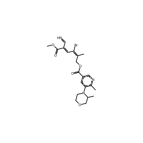 COC(=O)/C(C=N)=C/C(Br)=C(/C)COC(=O)c1cnc(C)c(N2CCOCC2C)c1